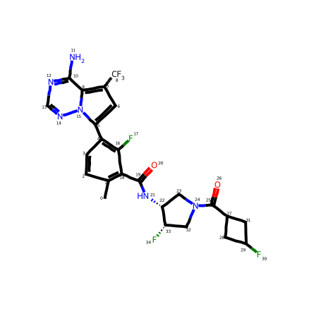 Cc1ccc(-c2cc(C(F)(F)F)c3c(N)ncnn23)c(F)c1C(=O)N[C@@H]1CN(C(=O)C2CC(F)C2)C[C@@H]1F